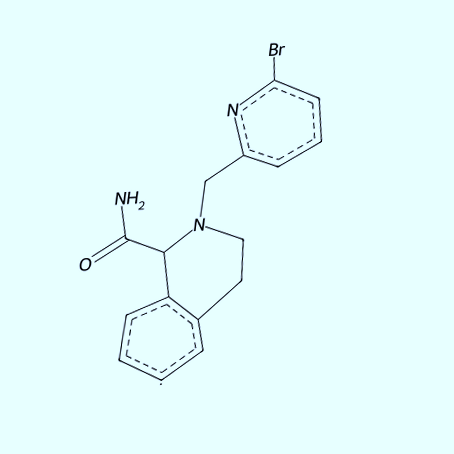 NC(=O)C1c2cc[c]cc2CCN1Cc1cccc(Br)n1